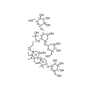 CC[C@@]12CC[C@H]([C@H](C)CC[C@@H](O[C@@H]3O[C@H](CO[C@@H]4O[C@H](CO)[C@@H](O)[C@H](O)[C@H]4O)[C@@H](O)C[C@H]3OC3C[C@@H](O)[C@H](O)[C@@H](CO)O3)C(C)(C)O)[C@@]1(C)C[C@@H](O)[C@@]1(C)[C@@H]3CC[C@H](O[C@]4(C)O[C@H](CO)[C@@H](O)[C@H](O)[C@H]4O)C(C)(C)C3=CC[C@H]12